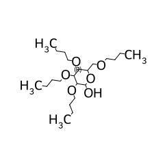 CCCCOCC1OC(O)C(OCCCC)C(OCCCC)[C@@H]1OCCCC